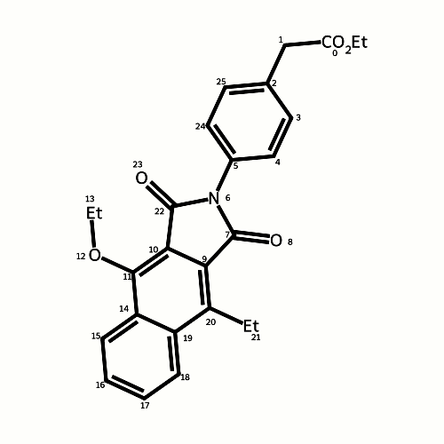 CCOC(=O)Cc1ccc(N2C(=O)c3c(c(OCC)c4ccccc4c3CC)C2=O)cc1